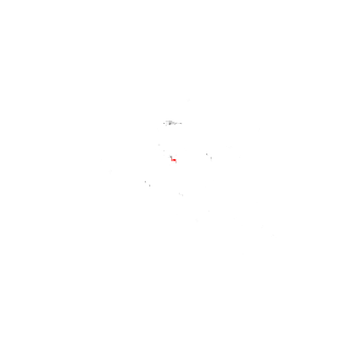 c1ccc(-c2cc(-c3ccccc3)nc(-n3c4ccccc4c4c5c6ccccc6oc5c5c6ccccc6n(-c6ccccc6)c5c43)n2)cc1